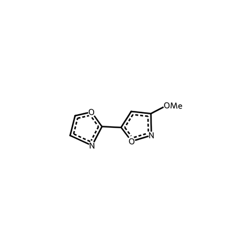 COc1cc(-c2ncco2)on1